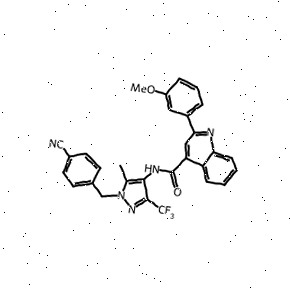 COc1cccc(-c2cc(C(=O)Nc3c(C(F)(F)F)nn(Cc4ccc(C#N)cc4)c3C)c3ccccc3n2)c1